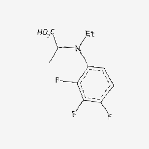 CCN(c1ccc(F)c(F)c1F)C(C)C(=O)O